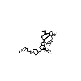 C=Cc1ccc(-c2cc3cc(CN4CCN(CCO)CC4)ccc3[nH]2)c2c1CNC2=O.Cl.Cl